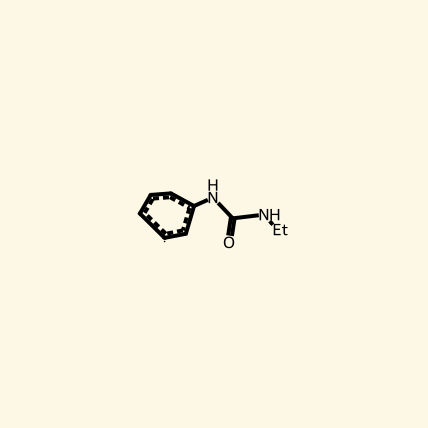 CCNC(=O)Nc1c[c]ccc1